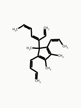 C=C/C=C\C1=C(C)C(C)=C(/C=C\C)C1(C)/C(C=C)=C/C=C\C